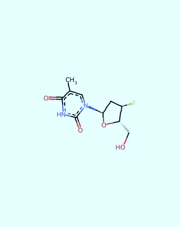 Cc1cn([C@H]2C[C@@H](F)[C@H](CO)O2)c(=O)[nH]c1=O